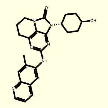 Cc1cc2ncccc2cc1Nc1nc2c3c(n1)n([C@H]1CC[C@H](O)CC1)c(=O)n3CCC2